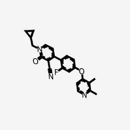 Cc1nccc(Oc2ccc(-c3ccn(CC4CC4)c(=O)c3C#N)c(F)c2)c1C